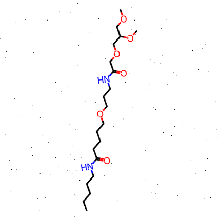 CCCCCNC(=O)CCCCOCCCNC(=O)COCC(COC)OC